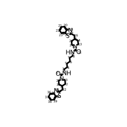 O=C(NCCCCCCNC(=O)N1CCC(Cc2nc3ccccc3s2)CC1)N1CCC(Cc2nc3ccccc3s2)CC1